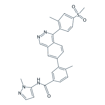 Cc1ccc(C(=O)Nc2ccnn2C)cc1-c1ccc2c(-c3ccc(S(C)(=O)=O)cc3C)nncc2c1